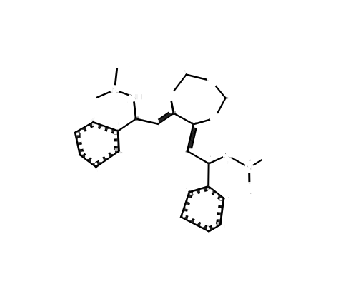 CN(C)NC(C=C1OCOCOC1=CC(NN(C)C)c1ccccc1)c1ccccc1